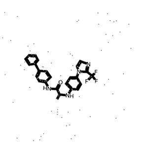 CC(Nc1ccc(-n2ccnc2C(F)(F)F)cc1)C(=O)Nc1ccc(-c2ccccc2)cc1